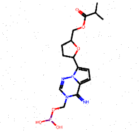 CC(C)C(=O)OCC1CCC(c2ccc3c(=N)n(COP(O)O)cnn23)O1